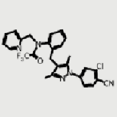 Cc1nn(-c2ccc(C#N)c(Cl)c2)c(C)c1Cc1ccccc1N(Cc1ccccn1)C(=O)C(F)(F)F